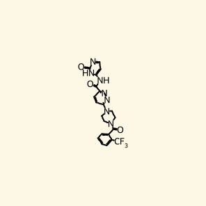 O=C(Nc1ccnc(=O)[nH]1)c1ccc(N2CCN(C(=O)c3ccccc3C(F)(F)F)CC2)nn1